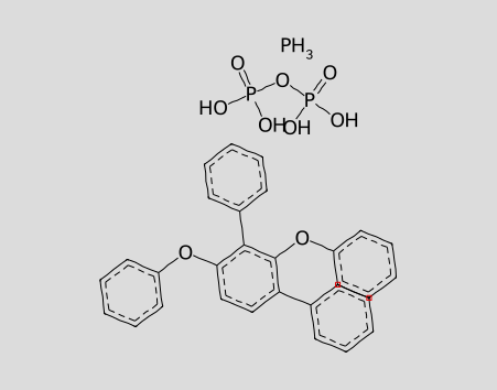 O=P(O)(O)OP(=O)(O)O.P.c1ccc(Oc2ccc(-c3ccccc3)c(Oc3ccccc3)c2-c2ccccc2)cc1